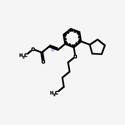 CCCCCOc1c(/C=C/C(=O)OC)cccc1C1CCCC1